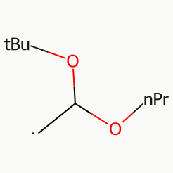 [CH2]C(OCCC)OC(C)(C)C